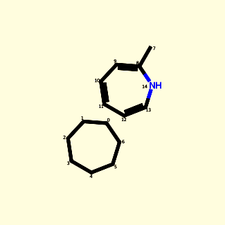 C1CCCCCC1.CC1=CC=CC=CN1